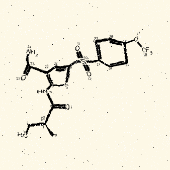 C[C@@H](CO)C(=O)Nc1sc(S(=O)(=O)c2ccc(OC(F)(F)F)cc2)cc1C(N)=O